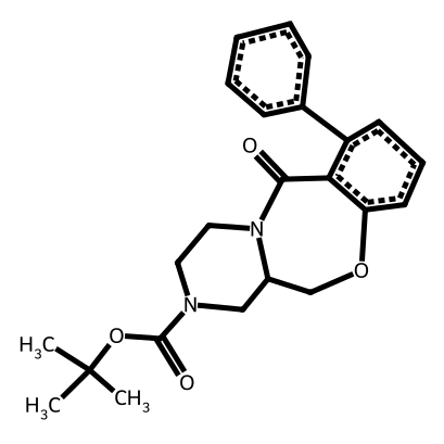 CC(C)(C)OC(=O)N1CCN2C(=O)c3c(cccc3-c3ccccc3)OCC2C1